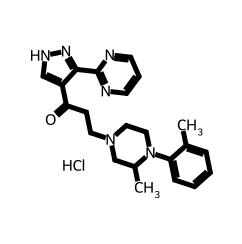 Cc1ccccc1N1CCN(CCC(=O)c2c[nH]nc2-c2ncccn2)CC1C.Cl